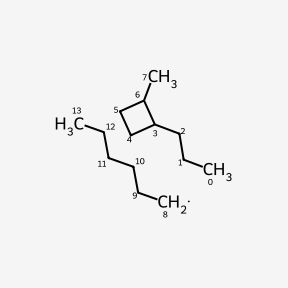 CCCC1CCC1C.[CH2]CCCCC